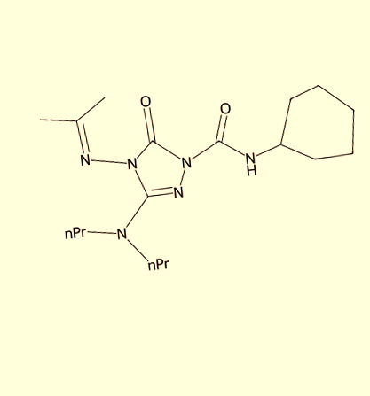 CCCN(CCC)c1nn(C(=O)NC2CCCCC2)c(=O)n1N=C(C)C